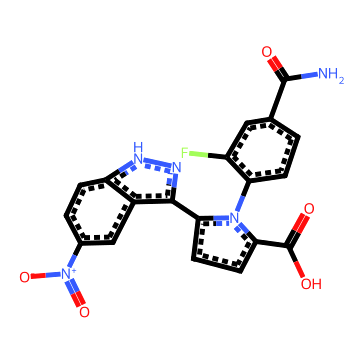 NC(=O)c1ccc(-n2c(C(=O)O)ccc2-c2n[nH]c3ccc([N+](=O)[O-])cc23)c(F)c1